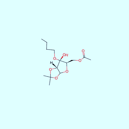 CCCCO[C@]1(O)[C@@H](COC(C)=O)OC2OC(C)(C)O[C@@H]21